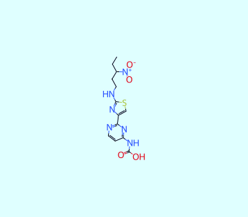 CCC(CCNc1nc(-c2nccc(NC(=O)O)n2)cs1)[N+](=O)[O-]